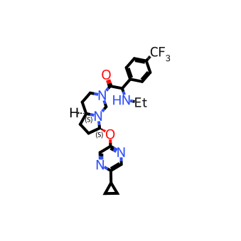 CCNC(C(=O)N1CC[C@@H]2CC[C@H](Oc3cnc(C4CC4)cn3)N2C1)c1ccc(C(F)(F)F)cc1